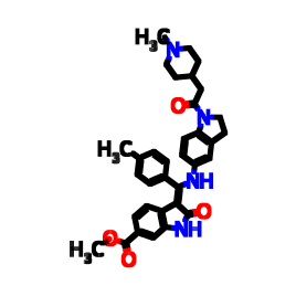 COC(=O)c1ccc2c(c1)NC(=O)/C2=C(\Nc1ccc2c(c1)CCN2C(=O)CC1CCN(C)CC1)c1ccc(C)cc1